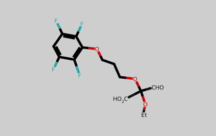 CCOC(C=O)(OCCCOc1c(F)c(F)cc(F)c1F)C(=O)O